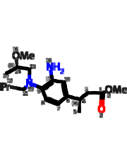 COC(=O)C[C@@H](C)c1ccc(N(CC(C)C)C[C@@H](C)OC)c(N)c1